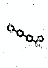 CC(c1ccc(-c2ccc(-c3cnccn3)cc2)cc1)N1CCCC1